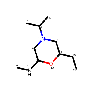 CBC1CN(C(C)C)CC(CC)O1